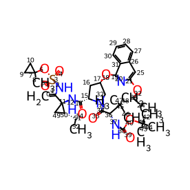 C=C(NS(=O)(=O)OC1(C)CC1)[C@@]1(NC(=O)[C@@H]2C[C@@H](Oc3nc(OCC)cc4ccccc34)CN2C(=O)[C@@H](NC(=O)OC(C)(C)C)C(C)(C)C)C[C@H]1CC